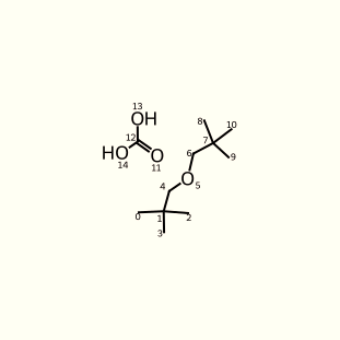 CC(C)(C)COCC(C)(C)C.O=C(O)O